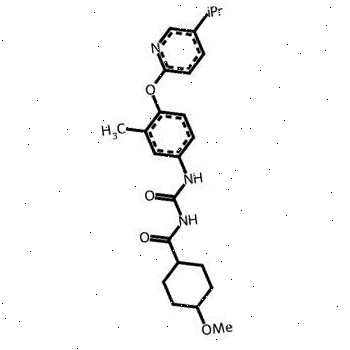 COC1CCC(C(=O)NC(=O)Nc2ccc(Oc3ccc(C(C)C)cn3)c(C)c2)CC1